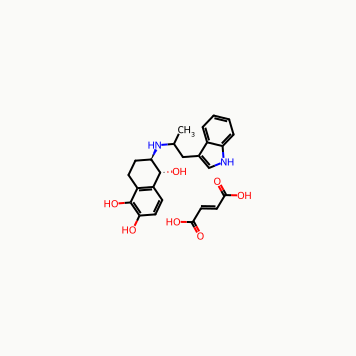 CC(Cc1c[nH]c2ccccc12)N[C@@H]1CCc2c(ccc(O)c2O)[C@H]1O.O=C(O)/C=C/C(=O)O